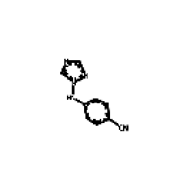 N#Cc1ccc(Nn2cncn2)cc1